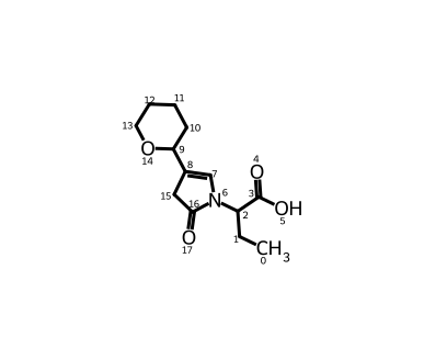 CCC(C(=O)O)N1C=C(C2CCCCO2)CC1=O